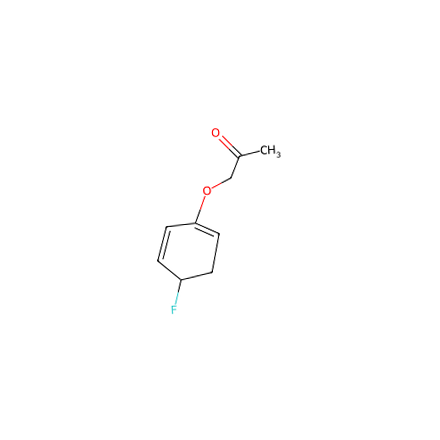 CC(=O)COC1=CCC(F)C=C1